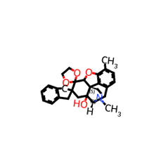 Cc1ccc2c3c1OC1C4(OCCO4)C4(Cc5ccccc5C4)CC4(O)[C@@H](C2)N(C)CC[C@]314